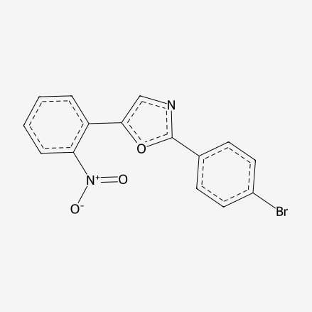 O=[N+]([O-])c1ccccc1-c1cnc(-c2ccc(Br)cc2)o1